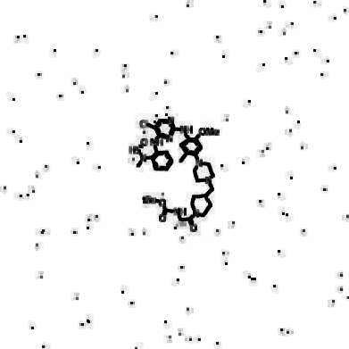 COc1cc(N2CCN(CC3CCN(C(=O)[C@H](C)NC(=O)OC(C)(C)C)CC3)CC2)c(C)cc1Nc1ncc(Cl)c(Nc2ccccc2N(C)[SH]=O)n1